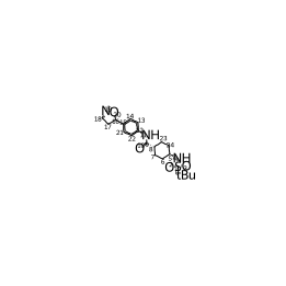 CC(C)(C)S(=O)(=O)N[C@H]1CC[C@H](C(=O)Nc2ccc(C3CC=NO3)cc2)CC1